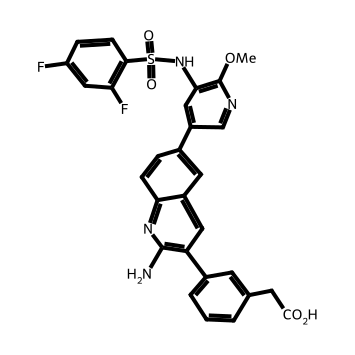 COc1ncc(-c2ccc3nc(N)c(-c4cccc(CC(=O)O)c4)cc3c2)cc1NS(=O)(=O)c1ccc(F)cc1F